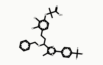 Cc1nc(-c2ccc(C(F)(F)F)cc2)sc1C(CCc1ccc(OC(C)(C)C(=O)O)c(Cl)c1Cl)OCc1ccccc1